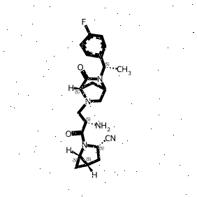 C[C@@H](c1ccc(F)cc1)N1C(=O)[C@@H]2CC1CN2C[C@H](N)C(=O)N1[C@H](C#N)C[C@@H]2C[C@@H]21